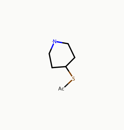 CC(=O)SC1CC[N]CC1